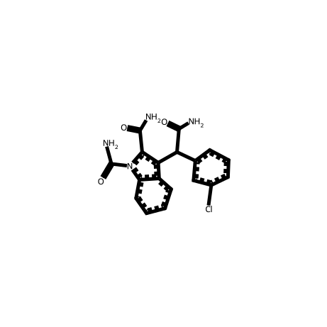 NC(=O)[C](c1cccc(Cl)c1)c1c(C(N)=O)n(C(N)=O)c2ccccc12